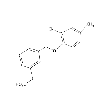 Cc1ccc(OCc2cccc(CC(=O)O)c2)c(Cl)c1